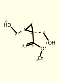 CCOC(=O)[C@]1(CO)C[C@H]1CO